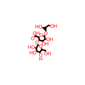 O=C(O)C1OC(OC2C(O)C2CO)C(O)C(O)C1OC1OC(CO)C(O)C(O)C1O